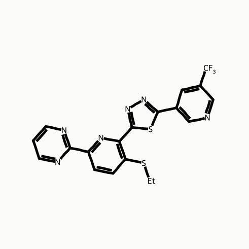 CCSc1ccc(-c2ncccn2)nc1-c1nnc(-c2cncc(C(F)(F)F)c2)s1